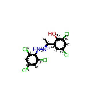 C/C(=N\Nc1c(Cl)cc(Cl)cc1Cl)c1cc(Cl)cc(Cl)c1O